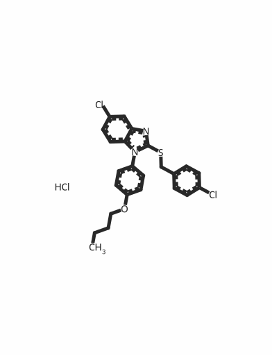 CCCCOc1ccc(-n2c(SCc3ccc(Cl)cc3)nc3cc(Cl)ccc32)cc1.Cl